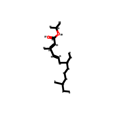 CCC(C)CCCC(CC)CC=CC(C)=CC(=O)OC(C)C